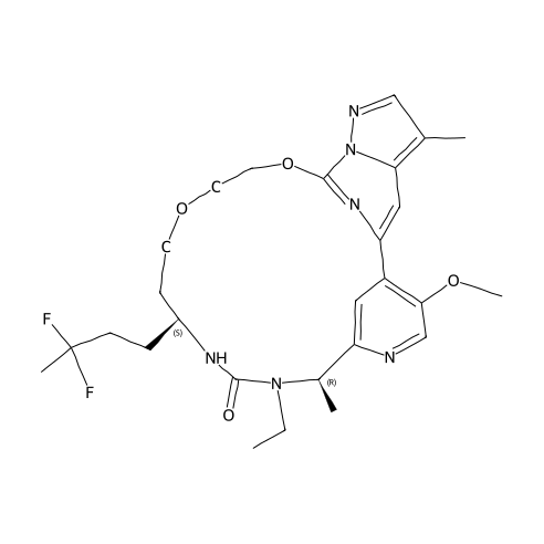 CCN1C(=O)N[C@@H](CCC(C)(F)F)CCOCCOc2nc(cc3c(C)cnn23)-c2cc(ncc2OC)[C@H]1C